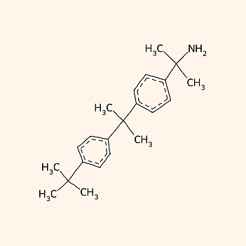 CC(C)(C)c1ccc(C(C)(C)c2ccc(C(C)(C)N)cc2)cc1